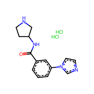 Cl.Cl.O=C(NC1CCNC1)c1cccc(-n2ccnc2)c1